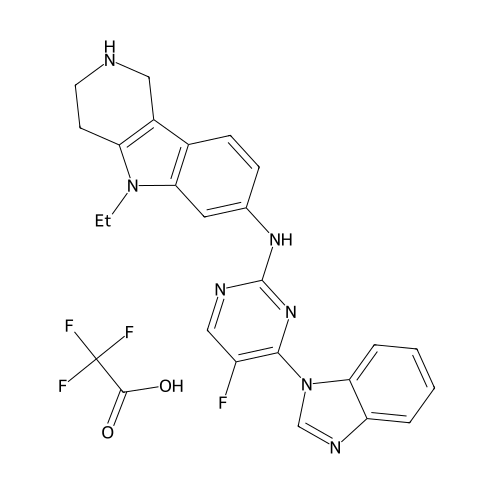 CCn1c2c(c3ccc(Nc4ncc(F)c(-n5cnc6ccccc65)n4)cc31)CNCC2.O=C(O)C(F)(F)F